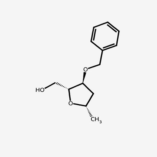 C[C@H]1C[C@H](OCc2ccccc2)[C@@H](CO)O1